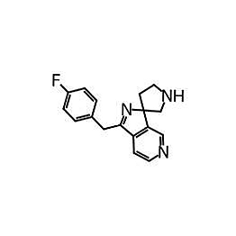 Fc1ccc(CC2=NC3(CCNC3)c3cnccc32)cc1